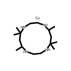 CC1CC(C)(C)NCCNC(C)CC(C)(C)NCCN1.[Cu]